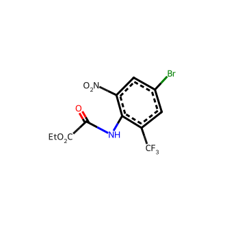 CCOC(=O)C(=O)Nc1c([N+](=O)[O-])cc(Br)cc1C(F)(F)F